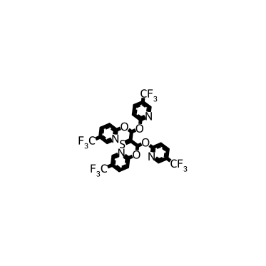 FC(F)(F)c1ccc(OC(Oc2ccc(C(F)(F)F)cn2)C(=S)C(Oc2ccc(C(F)(F)F)cn2)Oc2ccc(C(F)(F)F)cn2)nc1